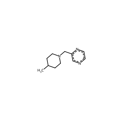 CC1CCN(Cc2cnccn2)CC1